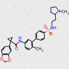 Cc1ccc(NC(=O)C2(c3ccc4c(c3)OCO4)CC2)cc1-c1ccc(S(=O)(=O)NCCC2CCCN2C)cc1